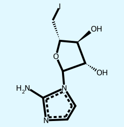 Nc1nccn1C1O[C@H](CI)[C@@H](O)[C@@H]1O